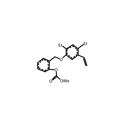 C=Cc1cc(OCc2ccccc2OC(=O)OC)c(CC)cc1CC